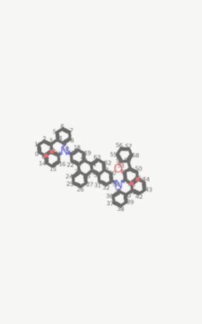 c1ccc(-c2ccccc2N(c2ccccc2)c2ccc3c(c2)c2ccccc2c2c4ccc(N(c5ccccc5-c5ccccc5)c5cccc6c5oc5ccccc56)cc4ccc32)cc1